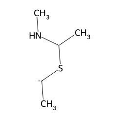 C[CH]SC(C)NC